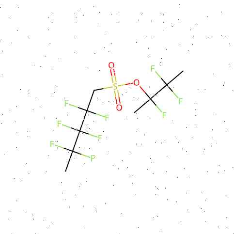 CC(F)(F)C(C)(F)OS(=O)(=O)CC(F)(F)C(F)(F)C(C)(F)F